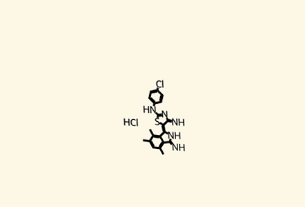 Cc1cc(C)c2c(c1C)/C(=C1\SC(Nc3ccc(Cl)cc3)=NC1=N)NC2=N.Cl